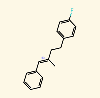 C/C(=C\c1ccccc1)CCc1ccc(F)cc1